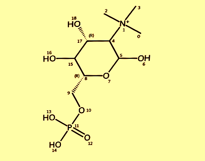 C[N+](C)(C)C1C(O)O[C@H](COP(=O)(O)O)C(O)[C@@H]1O